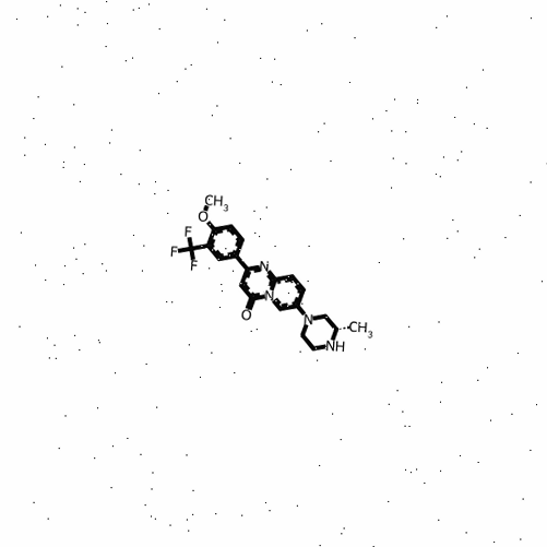 COc1ccc(-c2cc(=O)n3cc(N4CCN[C@@H](C)C4)ccc3n2)cc1C(F)(F)F